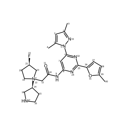 Cc1cc(C)n(-c2cc(NC(=O)C[N+]3([C@H]4CCNC4)CC[C@@H](F)C3)nc(-c3ccc(C)o3)n2)n1